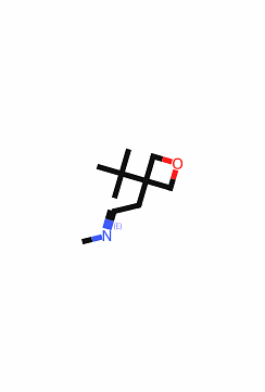 C/N=C/CC1(C(C)(C)C)COC1